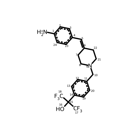 Nc1ccc(C=C2CCN(Cc3ccc(C(O)(C(F)(F)F)C(F)(F)F)cc3)CC2)cc1